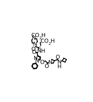 O=C(O)CC[C@H](NC(=O)c1cc(OCC(=O)N2CC(C(=O)NC3CCC3)C2)n(-c2ccccc2)n1)C(=O)N1CCN(C(=O)O)CC1